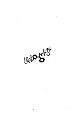 CNC(=O)CON=C(c1ccccc1)c1ccc2c(c1)CN1CC(=O)NC1=N2